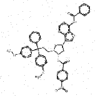 COc1ccc(C(OC[C@H]2O[C@@H](n3cnc4c(NC(=O)c5ccccc5)ncnc43)C[C@@H]2OC(=O)c2ccc([N+](=O)[O-])cc2)(c2ccccc2)c2ccc(OC)cc2)cc1